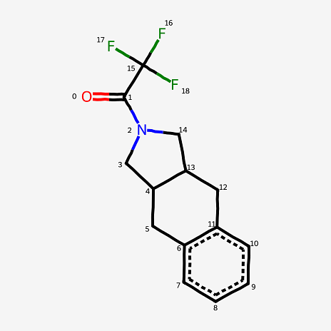 O=C(N1CC2Cc3ccccc3CC2C1)C(F)(F)F